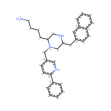 NCCCCC1CNC(Cc2ccc3ccccc3c2)CN1Cc1ccc(-c2ccccc2)nc1